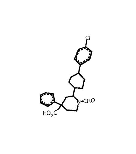 O=CN1CCC(C(=O)O)(c2ccccc2)CC1C1CCC(c2ccc(Cl)cc2)CC1